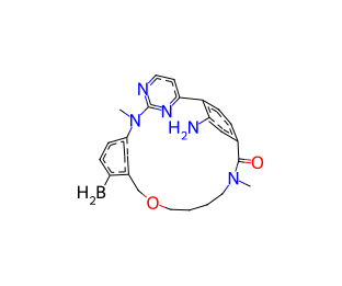 Bc1ccc2cc1COCCCCN(C)C(=O)c1ccc(c(N)c1)-c1ccnc(n1)N2C